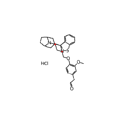 COc1cc(CC=O)ccc1OCCCCN1C2CCC1CC(c1nsc3ccccc13)C2.Cl